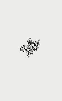 CCOc1cc(-c2nncn2C)ccc1Nc1ncc2cc(C)nc(N3CC(C)(OC)C3(C)C)c2n1